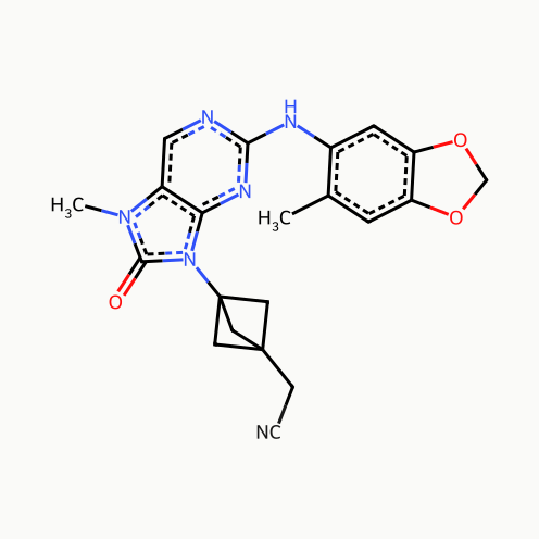 Cc1cc2c(cc1Nc1ncc3c(n1)n(C14CC(CC#N)(C1)C4)c(=O)n3C)OCO2